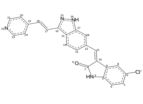 O=C1Nc2ccc(Cl)cc2C1=Cc1ccc2c(C=Cc3ccncc3)n[nH]c2c1